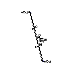 CCCCCCCC/C=C\CCCCCCCC(=O)NCCCCN(CCCNC(=O)CCCCCCC/C=C\CCCCCCCC)C(=O)[C@@H](N)CO